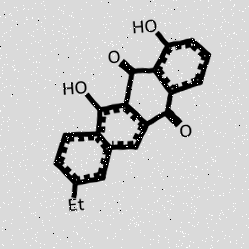 CCc1ccc2c(O)c3c(cc2c1)C(=O)c1cccc(O)c1C3=O